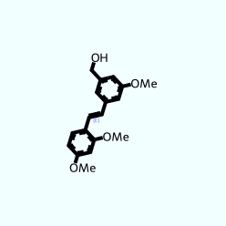 COc1cc(/C=C/c2ccc(OC)cc2OC)cc(CO)c1